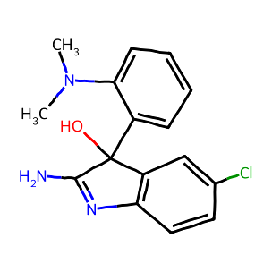 CN(C)c1ccccc1C1(O)C(N)=Nc2ccc(Cl)cc21